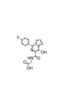 O=C(O)CNC(=O)c1nc(-c2ccc(F)cc2)c2ccsc2c1O